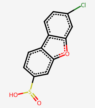 O=S(O)c1ccc2c(c1)oc1cc(Cl)ccc12